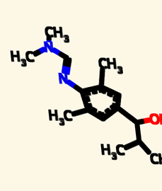 Cc1cc(C(O)C(C)C)cc(C)c1/N=C/N(C)C